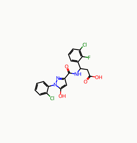 O=C(O)CC(NC(=O)c1cc(O)n(-c2ccccc2Cl)n1)c1cccc(Cl)c1F